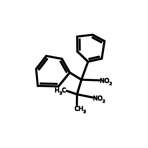 CC(C)([N+](=O)[O-])C(c1ccccc1)(c1ccccc1)[N+](=O)[O-]